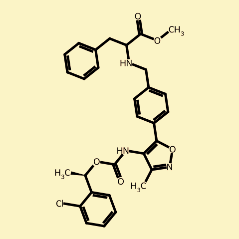 COC(=O)C(Cc1ccccc1)NCc1ccc(-c2onc(C)c2NC(=O)O[C@H](C)c2ccccc2Cl)cc1